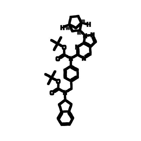 CC(C)(C)OC(=O)N(c1ccc(CN(C(=O)OC(C)(C)C)C2Cc3ccccc3C2)cc1)c1ncc2cnn([C@H]3C[C@@H]4CC[C@H]3C4)c2n1